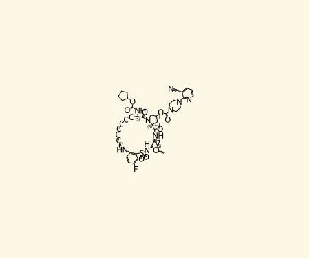 C=C[C@@H]1C[C@@]12NC(=O)[C@@H]1C[C@@H](OC(=O)N3CCN(c4ncccc4C#N)CC3)CN1C(=O)[C@@H](NC(=O)OC1CCCC1)CCCCCCCNc1ccc(F)cc1S(=O)(=O)NC2=O